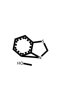 CO.c1cc2c3c(c1)N3CS2